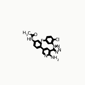 CC(=O)Nc1ccc(-c2cnc(N)c(-c3nnnn3-c3cc(F)ccc3Cl)c2)cc1